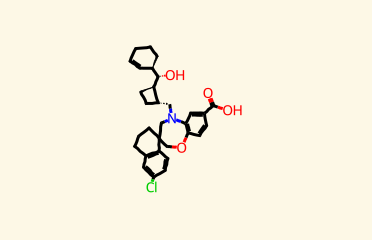 O=C(O)c1ccc2c(c1)N(C[C@@H]1CC[C@H]1[C@@H](O)[C@H]1C=CCCC1)CC1(CCCc3cc(Cl)ccc31)CO2